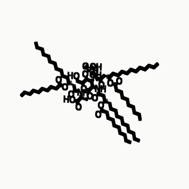 CCCCCCCCCCC[C@H](CC(=O)NC1C(OC[C@H](NC(=O)C[C@@H](CCCCCCCCCCC)OC(=O)CCCCCCCCC)C(=O)O)OC(CO)C(OP(=O)(O)O)C1NC(=O)C[C@@H](CCCCCCCCCCC)OC(=O)CCCCCCCCC)OC(=O)CCCCCCCCC